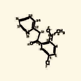 C[NH+]([O-])c1ccc(Cl)cc1C(=O)Cc1ccccn1